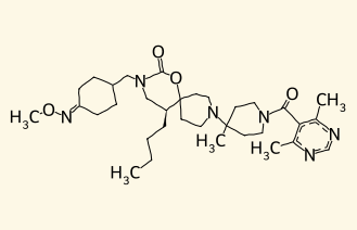 CCCC[C@H]1CN(CC2CCC(=NOC)CC2)C(=O)OC12CCN(C1(C)CCN(C(=O)c3c(C)ncnc3C)CC1)CC2